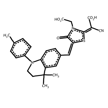 Cc1ccc(N2CCC(C)(C)c3cc(/C=c4/s/c(=C(\C#N)C(=O)O)n(CC(=O)O)c4=O)ccc32)cc1